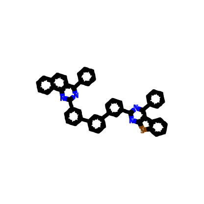 c1ccc(-c2nc(-c3cccc(-c4cccc(-c5cccc(-c6nc(-c7ccccc7)c7c(n6)sc6ccccc67)c5)c4)c3)nc3c2ccc2ccccc23)cc1